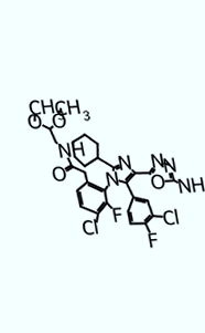 COC(CNC(=O)Cc1ccc(Cl)c(F)c1-n1c(C2CCCCC2)nc(-c2nnc(N)o2)c1-c1ccc(F)c(Cl)c1)OC